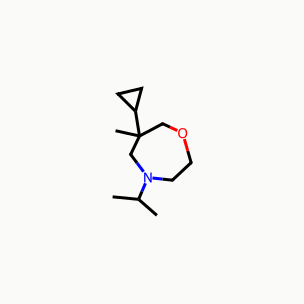 CC(C)N1CCOCC(C)(C2CC2)C1